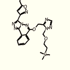 C[Si](C)(C)CCOCn1ncnc1COc1nn2c(-c3cc(CF)on3)nnc2c2ccccc12